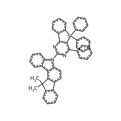 CC1(C)c2ccccc2-c2ccc3c(c21)c1ccccc1n3-c1nc(-c2ccccc2)c2c(n1)-c1ccccc1[Si]2(c1ccccc1)c1ccccc1